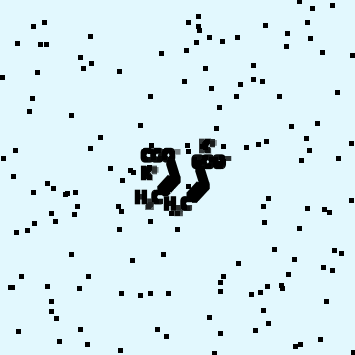 C=CC(=O)[O-].C=CC(=O)[O-].[K+].[K+]